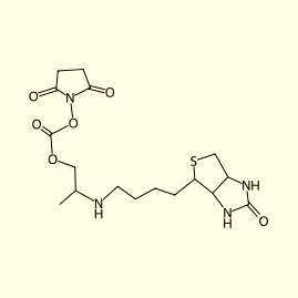 CC(COC(=O)ON1C(=O)CCC1=O)NCCCCC1SCC2NC(=O)NC21